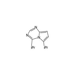 CC(C)c1ccc2ncnc(C(C)C)n12